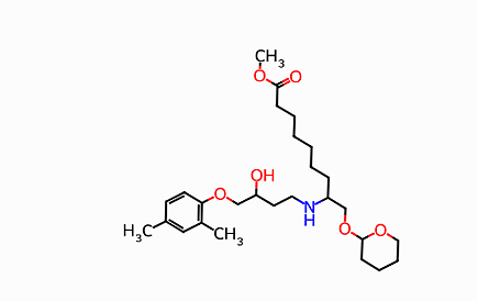 COC(=O)CCCCCCC(COC1CCCCO1)NCCC(O)COc1ccc(C)cc1C